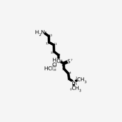 CN(C)CCCC(=S)OCCCCCN.Cl.Cl